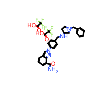 NC(=O)c1cccc2cn(-c3ccc(CNC4CCN(Cc5ccccc5)C4)cc3)nc12.O=C(O)C(F)(F)F.O=C(O)C(F)(F)F